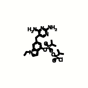 CC(C)S(=O)(=O)Cl.CCn1ccc2c(OS(=O)(=O)C(C)C)cc(Cc3cnc(N)nc3N)cc21